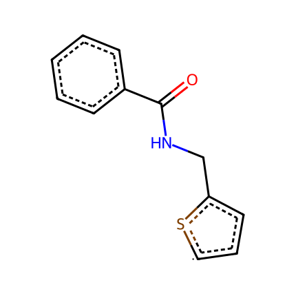 O=C(NCc1cc[c]s1)c1ccccc1